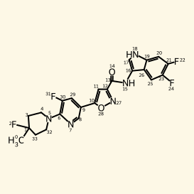 CC1(F)CCN(c2ncc(-c3cc(C(=O)Nc4c[nH]c5cc(F)c(F)cc45)no3)cc2F)CC1